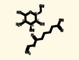 C=COC(=O)CCCCC(=O)O.N[C@H]1C(O)O[C@H](CO)[C@@H](O)[C@@H]1O